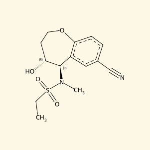 CCS(=O)(=O)N(C)[C@@H]1c2cc(C#N)ccc2OCC[C@H]1O